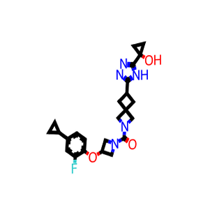 O=C(N1CC(Oc2ccc(C3CC3)cc2F)C1)N1CC2(CC(c3nnc(C4(O)CC4)[nH]3)C2)C1